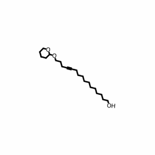 OCCCCCCCCCCCC#CCCCOC1CCCCO1